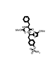 COC(=O)NC(Cc1ccccc1)C(=O)NC(Cc1ccc(OS(N)(=O)=O)cc1)c1nc(OC)cs1